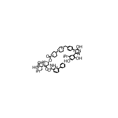 CC(C)C[C@H](NC(=O)[C@@H](NC(=O)c1cccc(-c2ccccc2)n1)[C@@H](C)OC(=O)N1CCC(N2CCN(Cc3ccc(-n4c(O)nnc4-c4cc(C(C)C)c(O)cc4O)cc3)CC2)CC1)B(O)O